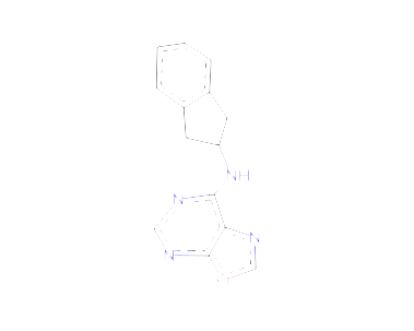 c1ccc2c(c1)CC(Nc1ncnc3ocnc13)C2